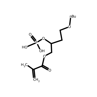 C=C(C)C(=O)OCC(CCOCCCC)OP(=O)(O)O